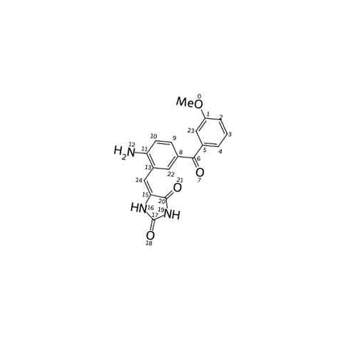 COc1cccc(C(=O)c2ccc(N)c(/C=C3/NC(=O)NC3=O)c2)c1